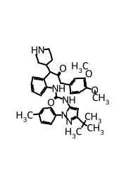 COc1ccc(CC(=O)C(c2ccccc2NC(=O)Nc2cc(C(C)(C)C)nn2-c2ccc(C)cc2)C2CCNCC2)cc1OC